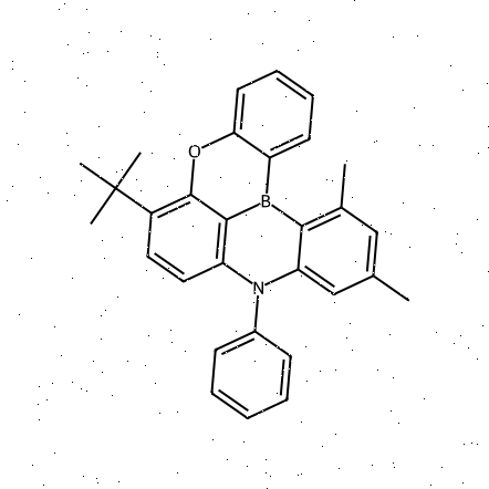 Cc1cc(C)c2c(c1)N(c1ccccc1)c1ccc(C(C)(C)C)c3c1B2c1ccccc1O3